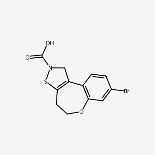 O=C(O)N1CC2=C(CCOc3cc(Br)ccc32)S1